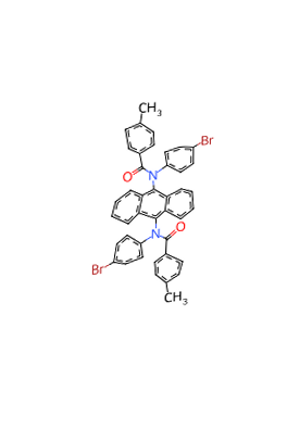 Cc1ccc(C(=O)N(c2ccc(Br)cc2)c2c3ccccc3c(N(C(=O)c3ccc(C)cc3)c3ccc(Br)cc3)c3ccccc23)cc1